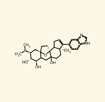 CN(C)[C@H]1C[C@@]23CC[C@]4(O2)C2CC=C(c5ccc6[nH]cnc6c5)[C@@]2(C)CCC4(O)CC3[C@@H](O)[C@@H]1O